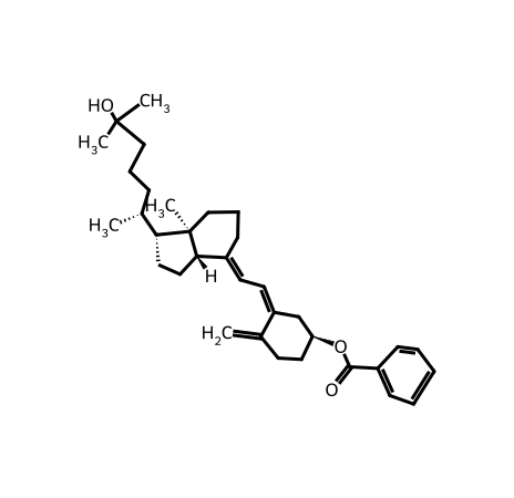 C=C1CC[C@H](OC(=O)c2ccccc2)C/C1=C/C=C1\CCC[C@]2(C)[C@@H]([C@H](C)CCCC(C)(C)O)CC[C@@H]12